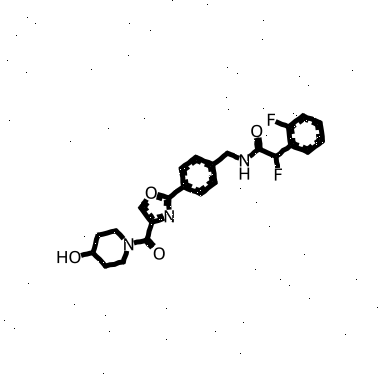 O=C(NCc1ccc(-c2nc(C(=O)N3CCC(O)CC3)co2)cc1)C(F)c1ccccc1F